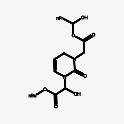 CCCCOC(=O)C(O)N1C=CCN(CC(=O)OC(O)CCC)C1=O